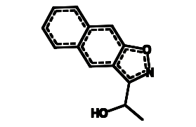 CC(O)c1noc2cc3ccccc3cc12